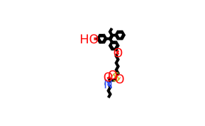 CCCCN(C)C(=O)CS(=O)(=O)CCCCCCOc1ccc(/C(=C(/CC)c2ccccc2)c2ccc(O)cc2)cc1